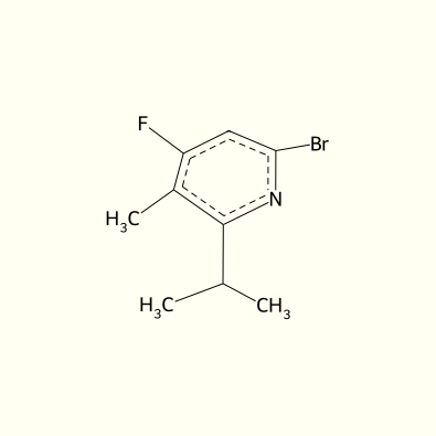 Cc1c(F)cc(Br)nc1C(C)C